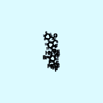 CC(C(=O)c1ccccc1)c1cccc(C(=O)Nc2c(Br)cc(C(F)(C(F)(F)F)C(F)(F)F)cc2C(F)(F)F)c1F